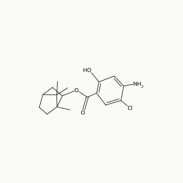 CC1(C)C2CCC1(C)C(OC(=O)c1cc(Cl)c(N)cc1O)C2